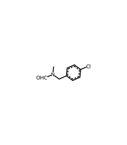 CN(C=O)Cc1ccc(Cl)cc1